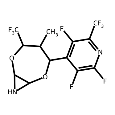 CC1C(c2c(F)c(F)nc(C(F)(F)F)c2F)OC2NC2OC1C(F)(F)F